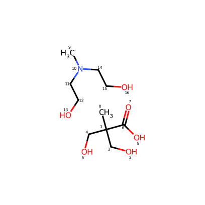 CC(CO)(CO)C(=O)O.CN(CCO)CCO